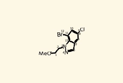 COCCn1ncc2cc(Cl)cc(Br)c21